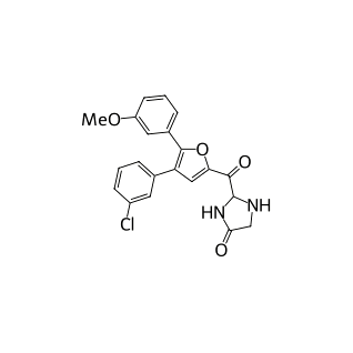 COc1cccc(-c2oc(C(=O)C3NCC(=O)N3)cc2-c2cccc(Cl)c2)c1